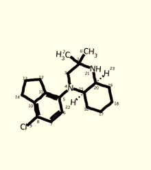 CC1(C)CN(c2ccc(Cl)c3c2CCC3)[C@@H]2CCCC[C@@H]2N1